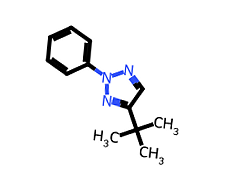 CC(C)(C)c1cnn(-c2ccccc2)n1